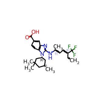 C=C/C(=C\C=C(/C)Nc1nc2cc(C(=O)O)ccc2n1[C@@H]1C[C@H](C)CC(C)(C)C1)C(F)(F)F